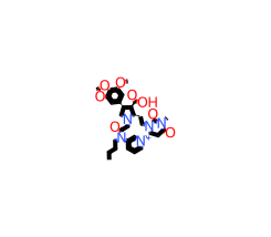 CCCCN(C(=O)CN1C[C@H](c2cc(OC)c3c(c2)OCO3)[C@@H](C(=O)O)[C@@H]1CCN1CCC(=O)N(C)C1=O)c1ccc[n+](C)c1